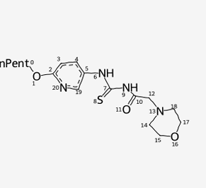 CCCCCOc1ccc(NC(=S)NC(=O)CN2CCOCC2)cn1